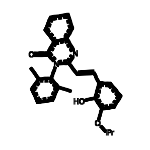 Cc1cccc(C)c1-n1c(/C=C/c2cccc(OC(C)C)c2O)nc2ccccc2c1=O